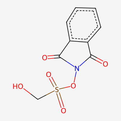 O=C1c2ccccc2C(=O)N1OS(=O)(=O)CO